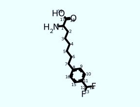 NC(CCCCCCc1ccc(C(F)F)cc1)C(=O)O